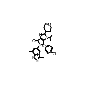 Cc1cc(N2C(=O)c3nc(C4CCOCC4)n(C(C)C)c3[C@@H]2c2ccc(Cl)cc2)cn2c(C)nnc12